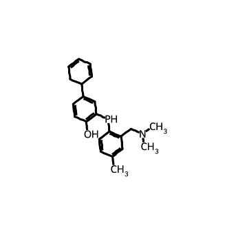 Cc1ccc(Pc2cc(C3C=CC=CC3)ccc2O)c(CN(C)C)c1